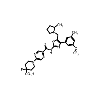 Cc1cc(OC(F)(F)F)cc(-c2nc(NC(=O)c3cnc(N4CCC(F)(C(=O)O)CC4)cn3)sc2CN2CCCC2C)c1